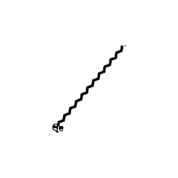 [CH2]CCCCCCCCCCCCCCCCCCCCC[CH2][Ge]([CH3])([CH3])[CH3]